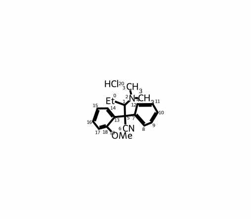 CCC(N(C)C)C(C#N)(c1ccccc1)c1ccccc1OC.Cl